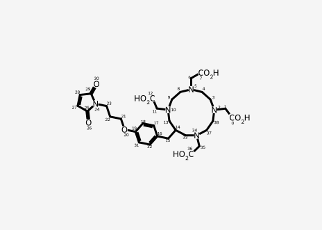 O=C(O)CN1CCN(CC(=O)O)CCN(CC(=O)O)CC(Cc2ccc(OCCCN3C(=O)C=CC3=O)cc2)CN(CC(=O)O)CC1